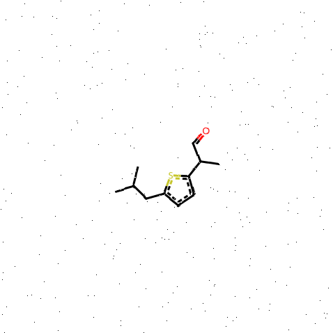 CC(C)Cc1ccc(C(C)C=O)s1